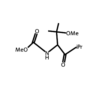 COC(=O)NC(C(=O)C(C)C)C(C)(C)OC